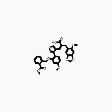 COC(=O)c1ccccc1COc1cc(OC)ccc1-c1nocc1C=C(Cc1cc2c(cc1OC)OCO2)C(=O)O